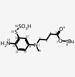 CN(CCCC(=O)OC(C)(C)C)c1ccc(N)c(SS(=O)(=O)O)c1